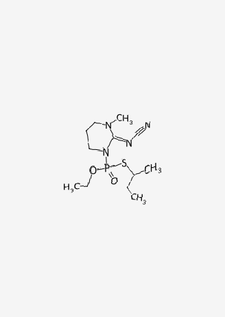 CCOP(=O)(SC(C)CC)N1CCCN(C)C1=NC#N